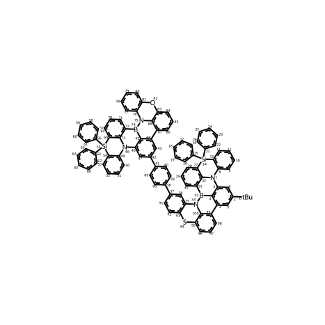 CC(C)(C)c1cc2c3c(c1)N1c4ccccc4[Si](c4ccccc4)(c4ccccc4)c4cccc(c41)B3N1c3cc(-c4ccc(-c5cc6c7c(c5)N5c8ccccc8[Si](c8ccccc8)(c8ccccc8)c8cccc(c85)B7N5c7ccccc7Oc7cccc-6c75)cc4)ccc3Sc3cccc-2c31